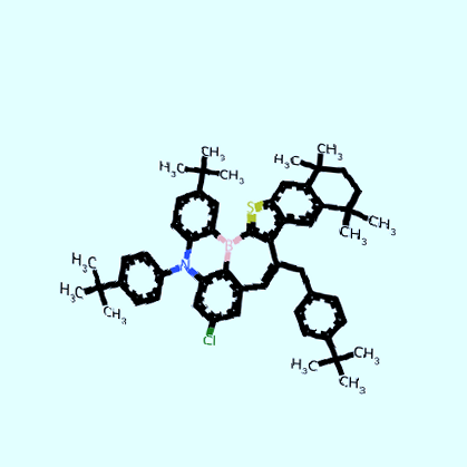 CC(C)(C)c1ccc(CC2=Cc3cc(Cl)cc4c3B(c3cc(C(C)(C)C)ccc3N4c3ccc(C(C)(C)C)cc3)c3sc4cc5c(cc4c32)C(C)(C)CCC5(C)C)cc1